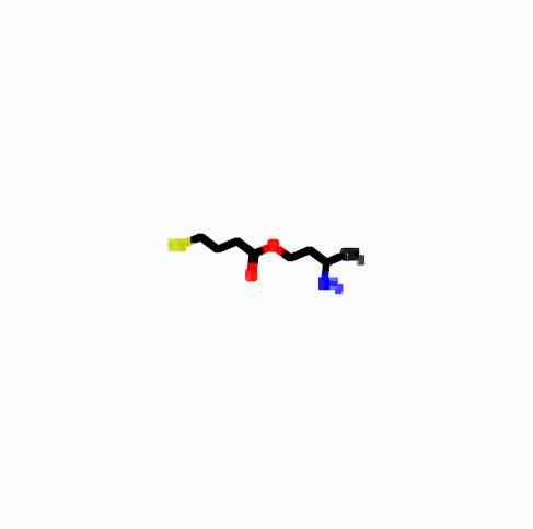 CC(N)CCOC(=O)CCCS